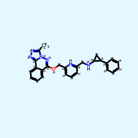 FC(F)(F)c1nnc2c3ccccc3c(OCc3cccc(CNC4CC4c4ccccc4)n3)nn12